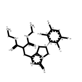 CCOC(=O)C(Cc1[nH]c(=S)n2c1C[C@H](c1c(F)c(F)cc(F)c1F)C2)C(=O)OCC